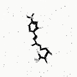 CC(C=Cc1ccc(N(C)C)cc1)=CC=CC(C)=C(C)C(=O)O